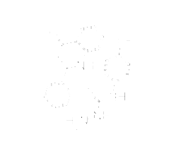 NNC(=O)Nc1ccc(C(F)(F)F)cc1.O=C1CC(c2ccccc2)Nc2ccccc21